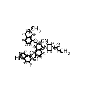 C=CC(=O)N1CCN(c2c(C#N)c(Oc3cccc4c3CN(C)CC4)nc3c(Oc4c(Cl)c(F)cc5[nH]ncc45)nccc23)CC1